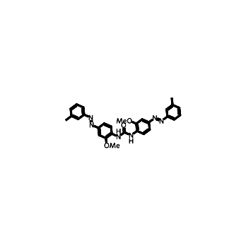 COc1cc(N=Nc2cccc(C)c2)ccc1NC(=O)Nc1ccc(N=Nc2cccc(C)c2)cc1OC